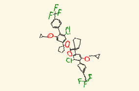 O=C(OC1(c2cc(Cl)c(-c3ccc(C(F)(F)F)cc3)c(OCC3CC3)c2)CCCC1)C1(c2cc(Cl)c(-c3ccc(C(F)(F)F)cc3)c(OCC3CC3)c2)CCCC1